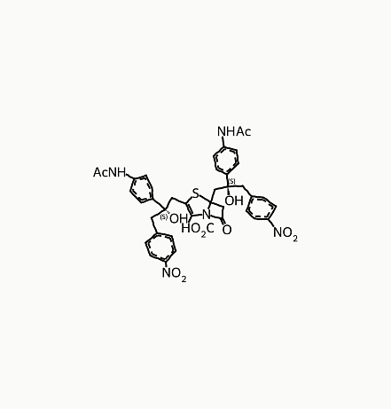 CC(=O)Nc1ccc([C@@](O)(CC2=C(C(=O)O)N3C(=O)CC3(C[C@@](O)(Cc3ccc([N+](=O)[O-])cc3)c3ccc(NC(C)=O)cc3)S2)Cc2ccc([N+](=O)[O-])cc2)cc1